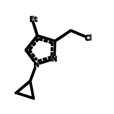 CCc1cn(C2CC2)nc1CCl